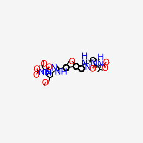 COCC1CC(c2ncc(-c3ccc4c(c3)COc3cc5c(ccc6nc([C@@H]7CC[C@H](C)N7C(=O)[C@@H](NC(=O)OC)C(C)C)[nH]c65)cc3-4)[nH]2)N(C(=O)C(NC(=O)OC)[C@@H](C)OC)C1